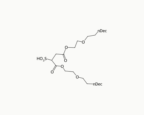 CCCCCCCCCCCCOCCOC(=O)CC(C(=O)OCCOCCCCCCCCCCCC)S(=O)(=O)O